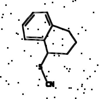 N#CSC1CCCc2ccccc21